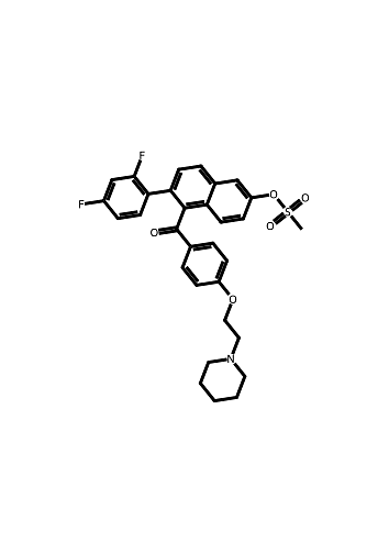 CS(=O)(=O)Oc1ccc2c(C(=O)c3ccc(OCCN4CCCCC4)cc3)c(-c3ccc(F)cc3F)ccc2c1